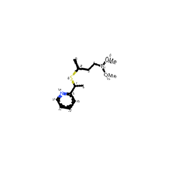 C[O][Ti]([CH2]CC(C)SC(C)c1ccccn1)[O]C